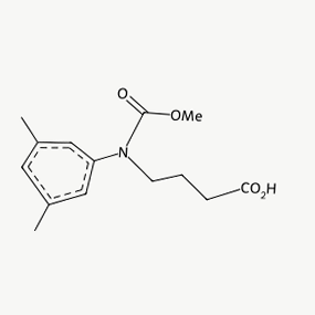 COC(=O)N(CCCC(=O)O)c1cc(C)cc(C)c1